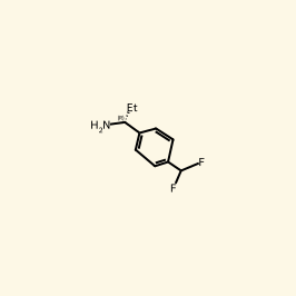 CC[C@@H](N)c1ccc(C(F)F)cc1